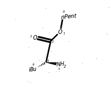 CCCCCOC(=O)[C@@H](N)[C@@H](C)CC